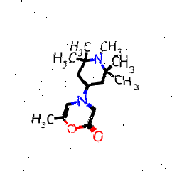 CC1=CN(C2CC(C)(C)N(C)C(C)(C)C2)CC(=O)O1